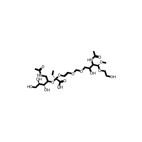 CC[C@@](OCCOCOCC(O)C(NC(C)=O)[C@H](OC)OCCO)(OC(CNC(C)=O)[C@H](O)[C@H](O)CO)C(=O)O